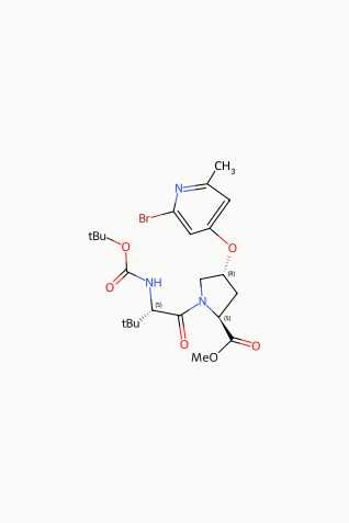 COC(=O)[C@@H]1C[C@@H](Oc2cc(C)nc(Br)c2)CN1C(=O)[C@@H](NC(=O)OC(C)(C)C)C(C)(C)C